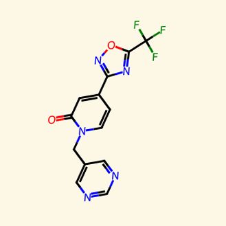 O=c1cc(-c2noc(C(F)(F)F)n2)ccn1Cc1cncnc1